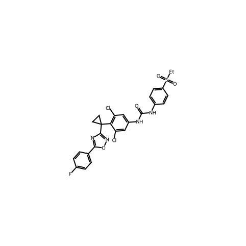 CCS(=O)(=O)c1ccc(NC(=O)Nc2cc(Cl)c(C3(c4noc(-c5ccc(F)cc5)n4)CC3)c(Cl)c2)cc1